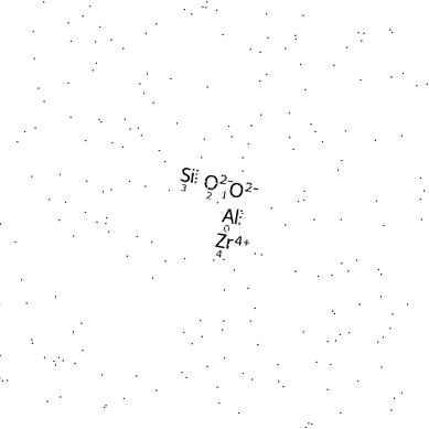 [Al].[O-2].[O-2].[Si].[Zr+4]